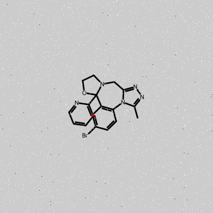 Cc1nnc2n1-c1ccc(Br)cc1C1(c3ccccn3)OCCN1C2